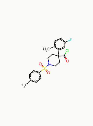 Cc1ccc(S(=O)(=O)N2CCC(C(=O)Cl)(c3cc(F)ccc3C)CC2)cc1